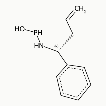 C=CC[C@@H](NPO)c1ccccc1